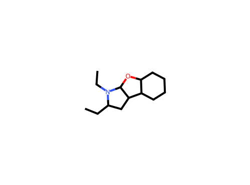 CCC1CC2C3CCCCC3OC2N1CC